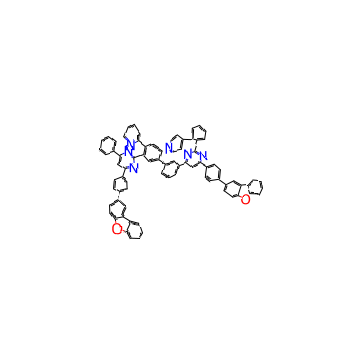 c1ccc(-c2cc(-c3ccc(-c4ccc5oc6ccccc6c5c4)cc3)nc(-c3cc(-c4cccc(-c5cc(-c6ccc(-c7ccc8oc9ccccc9c8c7)cc6)nc(-c6ccccc6-c6ccncc6)n5)c4)ccc3-c3ccccn3)n2)cc1